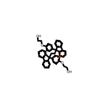 OCCOc1ccc(C2(CCC3(c4ccc(OCCO)cc4)c4ccccc4-c4ccccc43)c3ccccc3-c3ccccc32)cc1